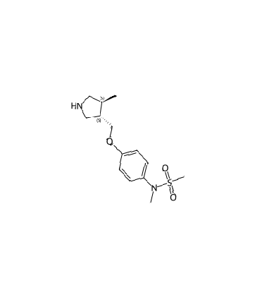 C[C@@H]1CNC[C@H]1COc1ccc(N(C)S(C)(=O)=O)cc1